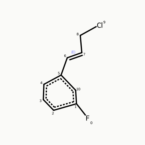 Fc1cccc(/C=C/CCl)c1